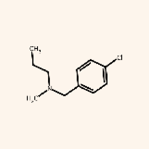 CCCN(C)Cc1ccc(Cl)cc1